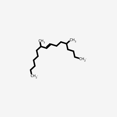 [CH2]CCCCCC(C)C=CCCC(C)CCC[CH2]